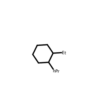 CCCC1CCCC[C]1CC